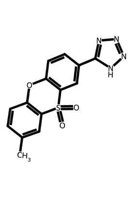 Cc1ccc2c(c1)S(=O)(=O)c1cc(-c3nnn[nH]3)ccc1O2